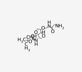 CC(C)(C)OC(=O)N[C@H]1CO[C@H]2[C@@H]1OC[C@H]2OCNC(=O)CN